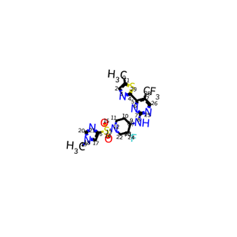 Cc1cnc(-c2nc(N[C@@H]3CCN(S(=O)(=O)c4cn(C)cn4)C[C@H]3F)ncc2C(F)(F)F)s1